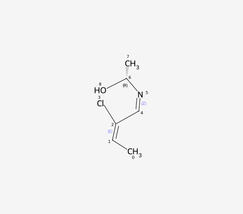 C/C=C(Cl)\C=N/[C@@H](C)O